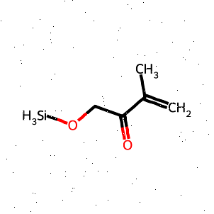 C=C(C)C(=O)CO[SiH3]